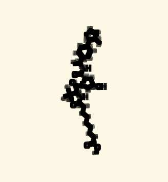 COC(=O)CCCCCCCC(=O)NC(C(=O)N1C[C@H](O)C[C@H]1C(=O)NC(C)c1ccc(-c2scnc2C)cc1)C(C)(C)C